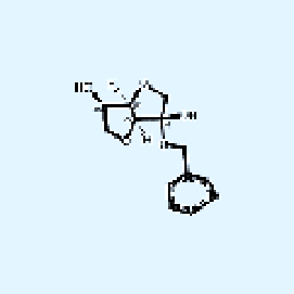 O[C@@H]1CO[C@H]2[C@@H]1OC[C@]2(O)OCc1ccccc1